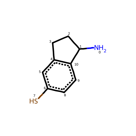 NC1CCc2cc(S)ccc21